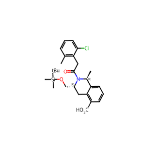 Cc1cccc(Cl)c1CC(=O)N1[C@@H](CO[Si](C)(C)C(C)(C)C)Cc2c(C(=O)O)cccc2[C@@H]1C